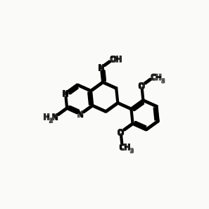 COc1cccc(OC)c1C1C/C(=N\O)c2cnc(N)nc2C1